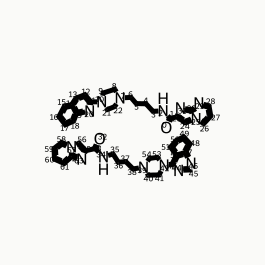 O=C(NCCCCN1CCN(c2ccc3ccccc3n2)CC1)c1cn2cccnc2n1.O=C(NCCCCN1CCN(c2ncnc3ccccc23)CC1)c1cn2ccccc2n1